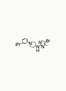 Cc1nc(NC2CCN(c3cccc(C(C)C)c3)CC2)ncc1Br